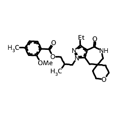 CCc1nn(CC(C)COC(=O)c2ccc(C)cc2OC)c2c1C(=O)NCC1(CCOCC1)C2